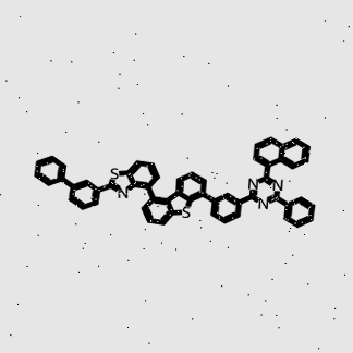 c1ccc(-c2cccc(-c3nc4c(-c5cccc6sc7c(-c8cccc(-c9nc(-c%10ccccc%10)nc(-c%10cccc%11ccccc%10%11)n9)c8)cccc7c56)cccc4s3)c2)cc1